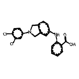 O=C(O)c1ccccc1Nc1ccc2c(c1)CN(c1ccc(Cl)c(Cl)c1)C2